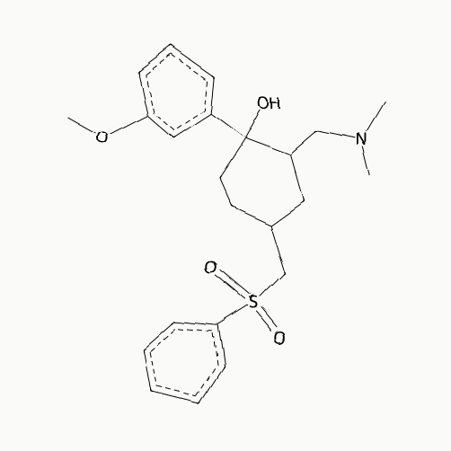 COc1cccc(C2(O)CCC(CS(=O)(=O)c3ccccc3)CC2CN(C)C)c1